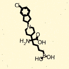 NC(CCCCB(O)O)(C(=O)O)C1CCN(C2Cc3ccc(Cl)cc3C2)CC1